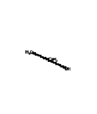 CCCCCCCCCCCCCCCCCCCCCCCCCCCCO.[CaH2]